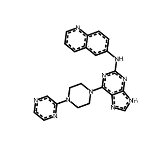 c1cnc2ccc(Nc3nc(N4CCN(c5cnccn5)CC4)c4nc[nH]c4n3)cc2c1